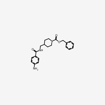 Nc1ccc(C(=O)NCC2CCN(C(=O)OCc3ccccc3)CC2)cc1